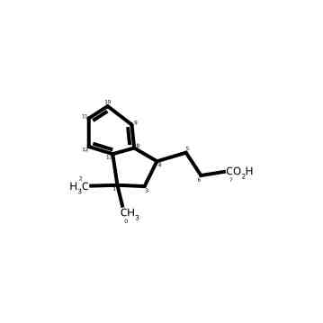 CC1(C)CC(CCC(=O)O)c2ccccc21